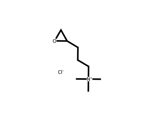 C[N+](C)(C)CCCC1CO1.[Cl-]